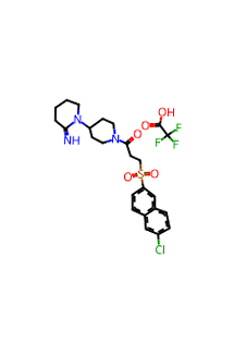 N=C1CCCCN1C1CCN(C(=O)CCS(=O)(=O)c2ccc3cc(Cl)ccc3c2)CC1.O=C(O)C(F)(F)F